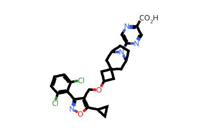 O=C(O)c1cnc(N2C3CCC2CC2(CC(OCc4c(-c5c(Cl)cccc5Cl)noc4C4CC4)C2)C3)cn1